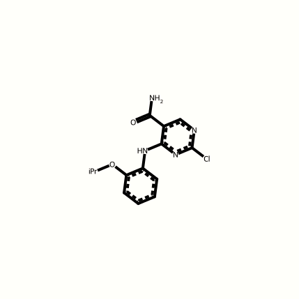 CC(C)Oc1ccccc1Nc1nc(Cl)ncc1C(N)=O